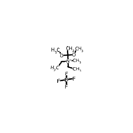 CC[N+](C)(CC)C(C)(OC)OC.F[B-](F)(F)F